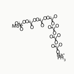 P.[Mo+6].[Na+].[O]=[V](=[O])[O-].[O]=[V](=[O])[O-].[O]=[V](=[O])[O-].[O]=[V](=[O])[O-].[O]=[V](=[O])[O-].[O]=[V](=[O])[O-].[O]=[V](=[O])[O-]